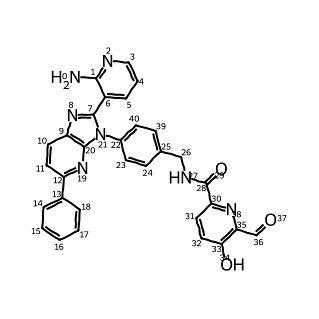 Nc1ncccc1-c1nc2ccc(-c3ccccc3)nc2n1-c1ccc(CNC(=O)c2ccc(O)c(C=O)n2)cc1